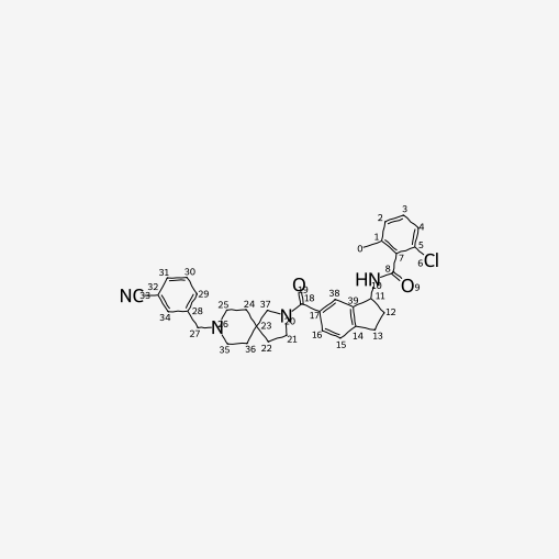 Cc1cccc(Cl)c1C(=O)NC1CCc2ccc(C(=O)N3CCC4(CCN(Cc5cccc(C#N)c5)CC4)C3)cc21